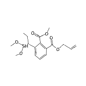 C=CCOC(=O)c1cccc(C(CC)[SiH](OC)OC)c1C(=O)OC